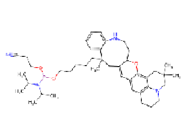 CC(C)N(C(C)C)P(OCCC#N)OCCCCCC1(C)CC2=Cc3cc4c5c(c3OC2CCNc2ccccc21)CC(C)(C)CN5CCC4